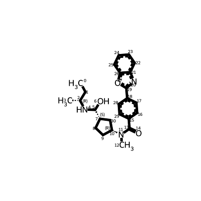 CC[C@@H](C)NC(O)[C@H]1CC[C@@H](N(C)C(=O)c2ccc(-c3nc4ccccc4o3)cc2)C1